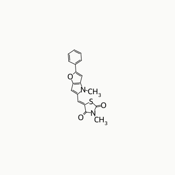 CN1C(=O)S/C(=C\c2cc3oc(-c4ccccc4)cc3n2C)C1=O